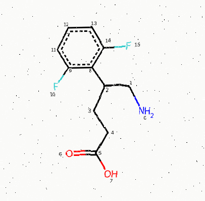 NCC(CCC(=O)O)c1c(F)cccc1F